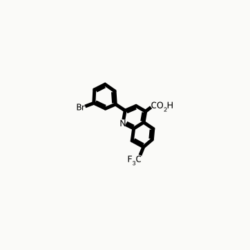 O=C(O)c1cc(-c2cccc(Br)c2)nc2cc(C(F)(F)F)ccc12